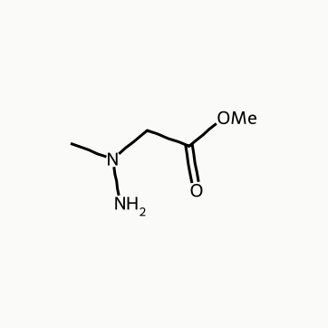 COC(=O)CN(C)N